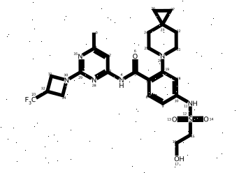 Cc1cc(NC(=O)c2ccc(NS(=O)(=O)CCO)cc2N2CCC3(CC2)CC3)nc(N2CC(C(F)(F)F)C2)n1